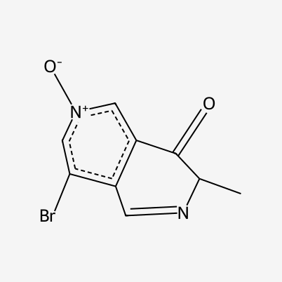 CC1N=Cc2c(Br)c[n+]([O-])cc2C1=O